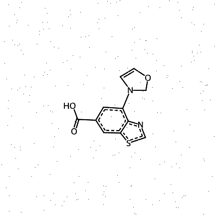 O=C(O)c1cc(N2C=COC2)c2ncsc2c1